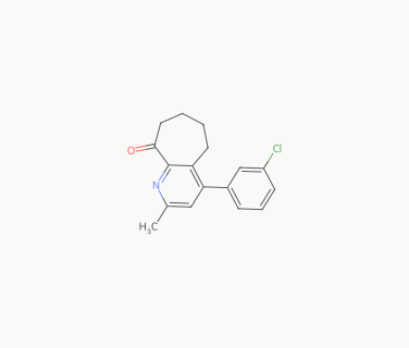 Cc1cc(-c2cccc(Cl)c2)c2c(n1)C(=O)CCCC2